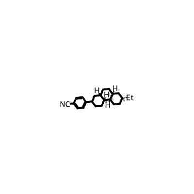 CC[C@@H]1CC[C@H]2[C@@H](CC[C@@H]3CC(c4ccc(C#N)cc4)CC[C@H]32)C1